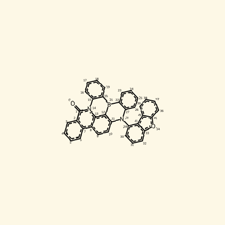 O=c1c2ccccc2c2ccc3c4c2n1-c1ccccc1B4c1ccccc1N3c1cccc2oc3ccccc3c12